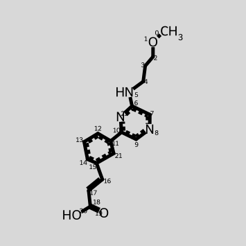 COCCCNc1cncc(-c2cccc(C=CC(=O)O)c2)n1